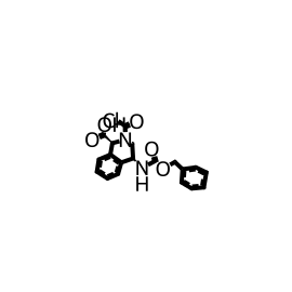 O=C(N[C@H]1CN(C(=O)Cl)[C@H](C(=O)O)c2ccccc21)OCc1ccccc1